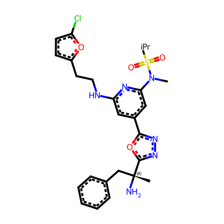 CC(C)S(=O)(=O)N(C)c1cc(-c2nnc([C@](C)(N)Cc3ccccc3)o2)cc(NCCc2ccc(Cl)o2)n1